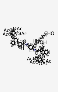 CC(=O)OC[C@H]1O[C@@H](Oc2ccc([C@H](CCl)CNC(=O)/C=C/c3ccc(/C=C/C(=O)N4C[C@@H](CCl)c5c4cc(O[C@@H]4O[C@H](COC(C)=O)[C@H](OC(C)=O)[C@H](OC(C)=O)[C@H]4OC(C)=O)c4ccccc54)c(OCCNC(O)CCCCC=O)c3)c3ccccc23)[C@H](OC(C)=O)[C@@H](OC(C)=O)[C@H]1OC(C)=O